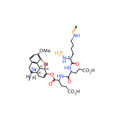 C=PNCCCC[C@H](NP)C(=O)NC(CCC(=O)O)C(=O)NC(CCC(=O)O)C(=O)OC1=CC[C@H]2[C@H]3Cc4ccc(OC)c5c4[C@@]2(CCN3C)[C@H]1O5